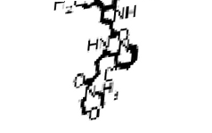 C=Cc1ccc(C)c2[nH]c(C(=O)NC(CCC(=O)N3CCOCC3)c3ncccc3C)cc12